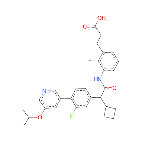 Cc1c(CCC(=O)O)cccc1NC(=O)C(c1ccc(-c2cncc(OC(C)C)c2)c(F)c1)C1CCC1